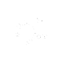 CC(C)C[C@@H]1NC(=O)[C@@H](N)Cc2cn(nn2)CCCC[C@H](C(N)=O)NC(=O)[C@H](Cc2ccc(NC(=N)N)cc2)NC(=O)CNC(=O)C(CCCNC(=N)N)NC1=O